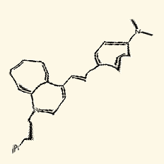 CC(C)CC[n+]1ccc(/C=C/c2ccc(N(C)C)cc2)c2ccccc21